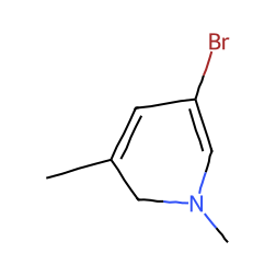 CC1=CC(Br)=CN(C)C1